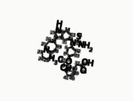 CC(C)Oc1ccc(N(C(N)=S)c2ccc3[nH]cc(C4=CCN5CCCCC5CC4)c3c2)cc1.O=C(O)Cc1ccccc1